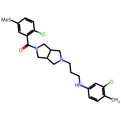 CSc1ccc(Cl)c(C(=O)N2CC3CN(CCCNc4ccc(C)c(Cl)c4)CC3C2)c1